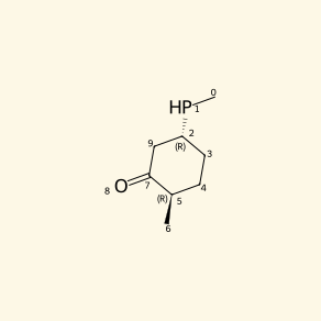 CP[C@@H]1CC[C@@H](C)C(=O)C1